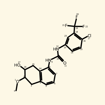 COC1Cc2cccc(NC(=O)Nc3ccc(Cl)c(C(F)(F)F)c3)c2CC1O